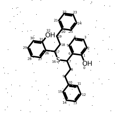 Oc1ccccc1C(CCc1ccccc1)SC(CCc1ccccc1)c1ccccc1O